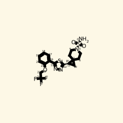 NS(=O)(=O)N1CCC2(CC1)C[C@H]2c1nnc(-c2ccccc2OCC(F)(F)F)s1